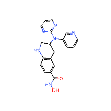 O=C(NO)c1ccc2c(c1)CC(N(c1cccnc1)c1ncccn1)CN2